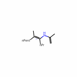 C=C(C)N/C(CCC)=C(\C)CCCCC